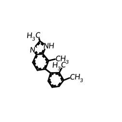 Cc1nc2ccc(-c3cccc(C)c3C)c(C)c2[nH]1